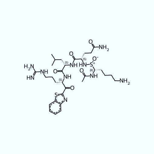 CC(=O)N[C@@H](CCCCN)[S+]([O-])N[C@@H](CCC(N)=O)C(=O)N[C@@H](CC(C)C)C(=O)N[C@@H](CCCNC(=N)N)C(=O)c1nc2ccccc2s1